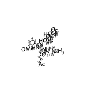 COc1ccccc1-c1cnc(C(CCCCCC(C)=O)NC(=O)C2CCN(C)CC2)[nH]1.O=C(O)C(F)(F)F.O=C(O)C(F)(F)F